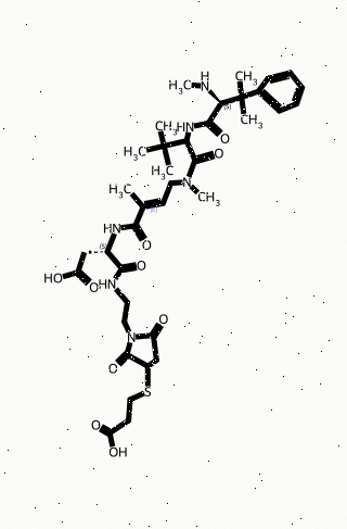 CN[C@H](C(=O)NC(C(=O)N(C)C/C=C(\C)C(=O)N[C@@H](CC(=O)O)C(=O)NCCN1C(=O)CC(SCCC(=O)O)C1=O)C(C)(C)C)C(C)(C)c1ccccc1